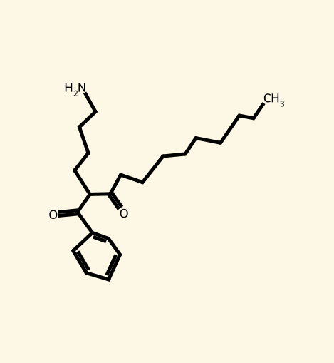 CCCCCCCCCC(=O)C(CCCCN)C(=O)c1ccccc1